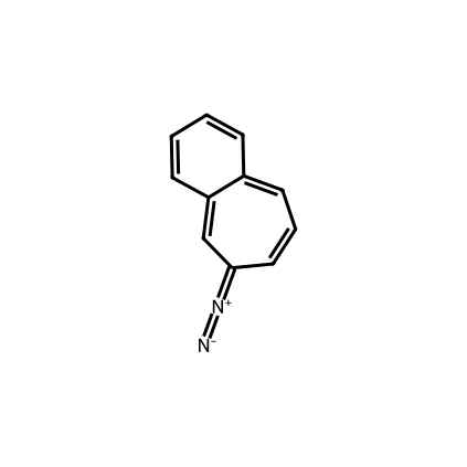 [N-]=[N+]=c1cccc2ccccc2c1